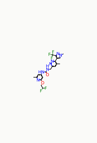 Cc1cc(NC(=O)NCc2cc(C)c(-c3cn(C)nc3C(F)(F)F)nn2)cc(OCC(F)F)n1